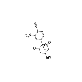 C#Cc1ccc(C23C(=O)CC(CCC)(CC2=O)CC3=O)cc1[N+](=O)[O-]